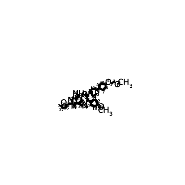 COCCOc1ccc(N2CCN(C(=O)C(c3ccc(OC)cc3)n3ncc4c3nc(N)n3nc(-c5ccco5)nc43)CC2)cc1